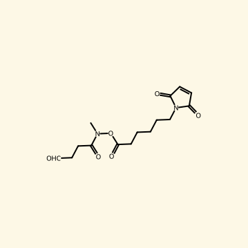 CN(OC(=O)CCCCCN1C(=O)C=CC1=O)C(=O)CCC=O